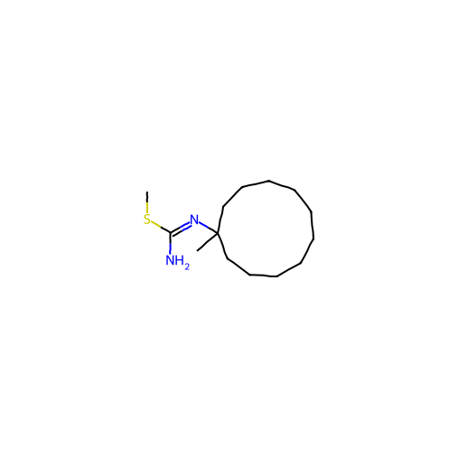 CS/C(N)=N/C1(C)CCCCCCCCCC1